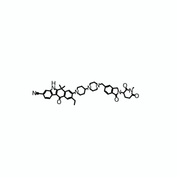 CCc1cc2c(cc1N1CCC(N3CCN(Cc4ccc5c(c4)CN(C4CCC(=O)N(C)C4=O)C5=O)CC3)CC1)C(C)(C)c1[nH]c3cc(C#N)ccc3c1C2=O